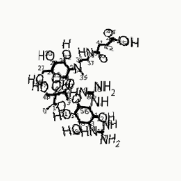 C[C@@H]1O[C@@H](OC2[C@@H](NC(=N)N)C(O)C(NC(=N)N)[C@H](O)[C@@H]2O)C(OC2OC(CO)[C@H](O)[C@H](O)C2N(C)CCNC(=O)CCC(=O)O)[C@]1(O)CO